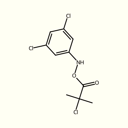 CC(C)(Cl)C(=O)ONc1cc(Cl)cc(Cl)c1